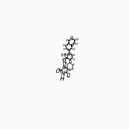 O=C1NC(=O)C2(CCCC(c3ccc(-c4ccc5ccccc5c4)[nH]c3=O)C2)N1